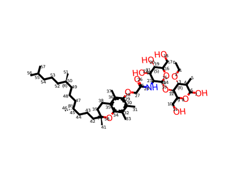 CCO[C@@H]1C(C)C(O)OC(CO)[C@H]1O[C@@H]1OC(CO)[C@@H](O)[C@H](O)C1NC(=O)COc1c(C)c(C)c2c(c1C)CC[C@@](C)(CCC[C@H](C)CCC[C@H](C)CCCC(C)C)O2